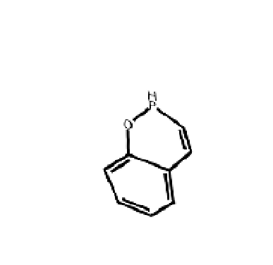 C1=Cc2ccccc2OP1